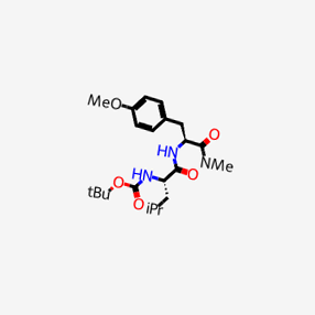 CNC(=O)[C@H](Cc1ccc(OC)cc1)NC(=O)[C@H](CC(C)C)NC(=O)OC(C)(C)C